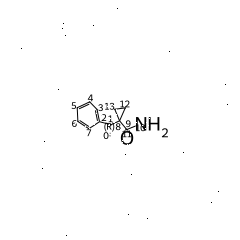 C[C@H](c1ccccc1)C1(C(N)=O)CC1